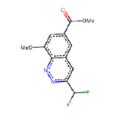 COC(=O)c1cc(OC)c2nnc(C(F)F)cc2c1